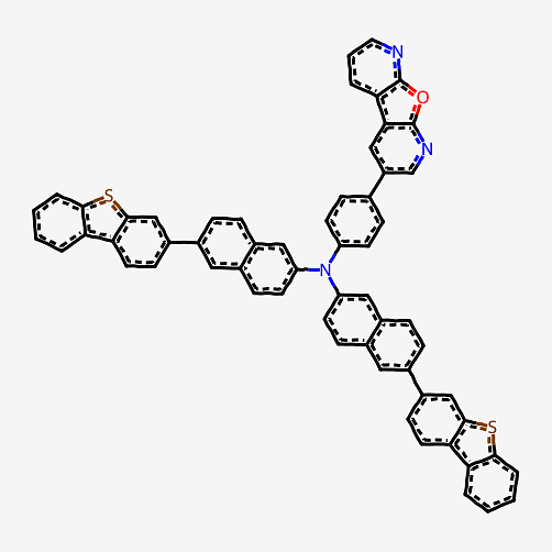 c1ccc2c(c1)sc1cc(-c3ccc4cc(N(c5ccc(-c6cnc7oc8ncccc8c7c6)cc5)c5ccc6cc(-c7ccc8c(c7)sc7ccccc78)ccc6c5)ccc4c3)ccc12